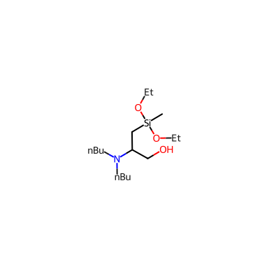 CCCCN(CCCC)C(CO)C[Si](C)(OCC)OCC